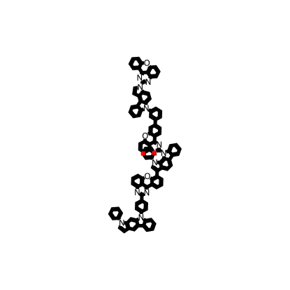 c1ccc(-n2ccc3cc4c5ccccc5n(-c5ccc(-c6nc7c8c(cccc8n6)Oc6c(-c8cn(-c9ccccc9)c9c8ccc8c%10ccccc%10n(-c%10nc%11c%12c(cccc%12n%10)Oc%10cc(-c%12cccc(-n%13c%14ccccc%14c%14c%15ccn(-c%16nc%17c%18c(cccc%18n%16)Oc%16ccccc%16-%17)c%15ccc%14%13)c%12)ccc%10-%11)c89)cccc6-7)cc5)c4cc32)cc1